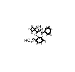 Cc1ccc(S(=O)(=O)O)cc1.NC1(C(=O)OCc2ccccc2)CCC1